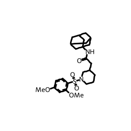 COc1ccc(S(=O)(=O)N2CCCC(CC(=O)NC34CC5CC(CC(C5)C3)C4)C2)c(OC)c1